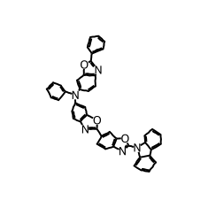 c1ccc(-c2nc3ccc(N(c4ccccc4)c4ccc5nc(-c6ccc7nc(-n8c9ccccc9c9ccccc98)oc7c6)oc5c4)cc3o2)cc1